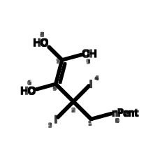 CCCCCCC(I)(I)C(O)=C(O)O